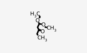 CCOC(CC(=O)CC)OCC